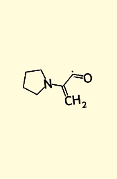 C=C([C]=O)N1CCCC1